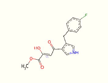 COC(=O)/C(O)=C/C(=O)c1c[nH]cc1Cc1ccc(F)cc1